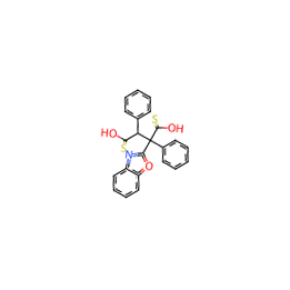 OC(=S)C(c1ccccc1)C(C(O)=S)(c1ccccc1)c1nc2ccccc2o1